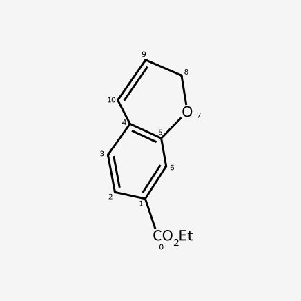 CCOC(=O)c1ccc2c(c1)OCC=C2